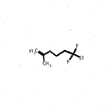 C=C(C)CCCC(F)(F)CC